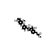 COC(=O)CCc1cccc(C(C)(O)c2cnc(-c3cc(Oc4c(F)cc5[nH]ccc5c4SC)ccc3F)[nH]2)c1